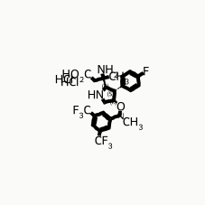 C[C@@H](O[C@H]1CN[C@@H](C(C)(N)CC(=O)O)[C@@H]1c1ccc(F)cc1)c1cc(C(F)(F)F)cc(C(F)(F)F)c1.Cl.Cl